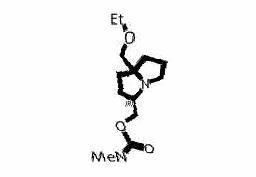 CCOCC12CCCN1[C@@H](COC(=O)NC)CC2